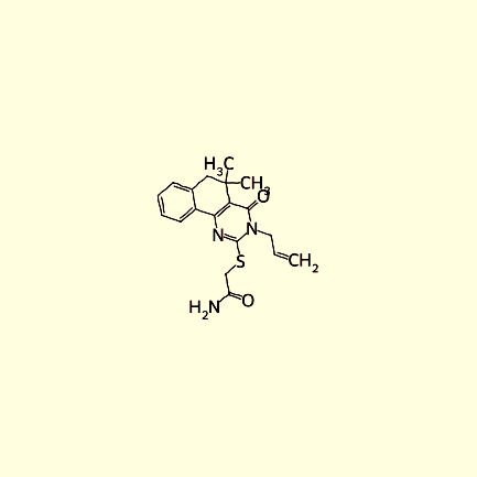 C=CCn1c(SCC(N)=O)nc2c(c1=O)C(C)(C)Cc1ccccc1-2